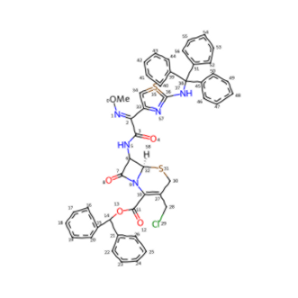 CON=C(C(=O)NC1C(=O)N2C(C(=O)OC(c3ccccc3)c3ccccc3)=C(CCl)CS[C@H]12)c1csc(NC(c2ccccc2)(c2ccccc2)c2ccccc2)n1